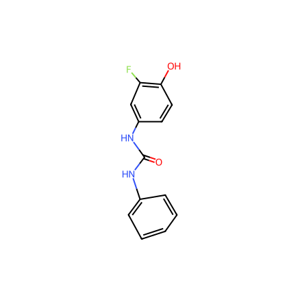 O=C(Nc1ccccc1)Nc1ccc(O)c(F)c1